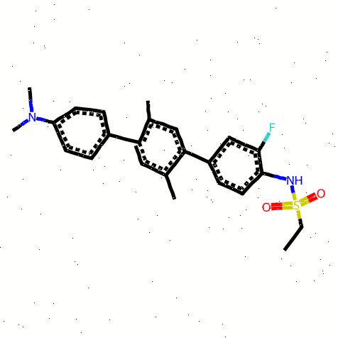 CCS(=O)(=O)Nc1ccc(-c2cc(C)c(-c3ccc(N(C)C)cc3)cc2C)cc1F